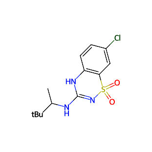 CC(NC1=NS(=O)(=O)c2cc(Cl)ccc2N1)C(C)(C)C